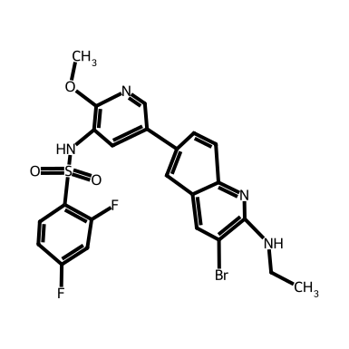 CCNc1nc2ccc(-c3cnc(OC)c(NS(=O)(=O)c4ccc(F)cc4F)c3)cc2cc1Br